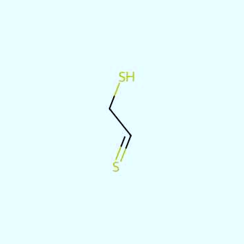 S=CCS